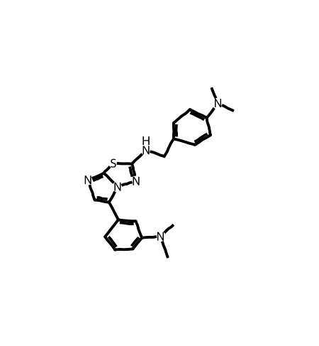 CN(C)c1ccc(CNc2nn3c(-c4cccc(N(C)C)c4)cnc3s2)cc1